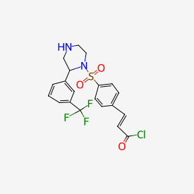 O=C(Cl)C=Cc1ccc(S(=O)(=O)N2CCNCC2c2cccc(C(F)(F)F)c2)cc1